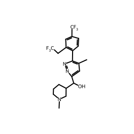 Cc1cc(C(O)C2CCCN(C)C2)nnc1-c1ccc(C(F)(F)F)cc1CC(F)(F)F